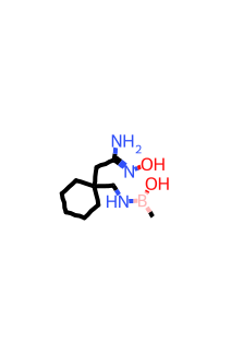 CB(O)NCC1(CC(N)=NO)CCCCC1